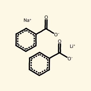 O=C([O-])c1ccccc1.O=C([O-])c1ccccc1.[Li+].[Na+]